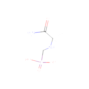 C[C@H](NCP(=O)(O)O)C(N)=O